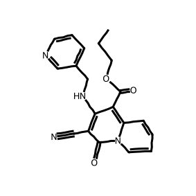 CCCOC(=O)c1c(NCc2cccnc2)c(C#N)c(=O)n2ccccc12